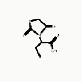 CCC(C(=O)O)N1C(=O)CSC1=S